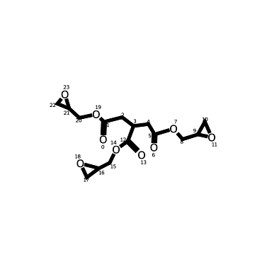 O=C(CC(CC(=O)OCC1CO1)C(=O)OCC1CO1)OCC1CO1